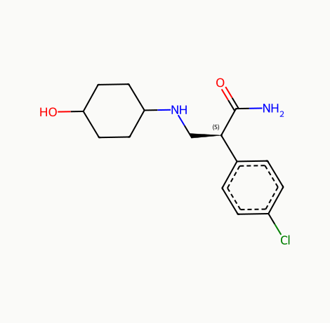 NC(=O)[C@H](CNC1CCC(O)CC1)c1ccc(Cl)cc1